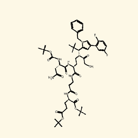 CC(C)(C)OC(=O)CC[C@@H](NC(=O)CCNC(=O)[C@H](CCN(C(=O)CO)[C@@H](c1cc(-c2cc(F)ccc2F)cn1Cc1ccccc1)C(C)(C)C)NC(=O)[C@H](CC(N)=O)NC(=O)OC(C)(C)C)C(=O)OC(C)(C)C